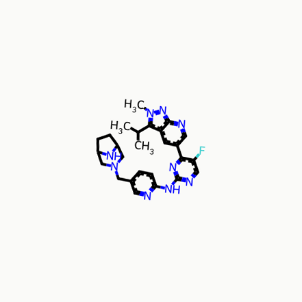 CC(C)c1c2cc(-c3nc(Nc4ccc(CN5CC6CCC(C5)N6)cn4)ncc3F)cnc2nn1C